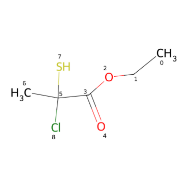 CCOC(=O)C(C)(S)Cl